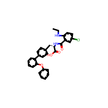 CCNc1ccc(Cl)cc1C(=O)N[C@@H](Cc1ccc(-c2ccccc2Oc2ccccc2)cc1)C(=O)O